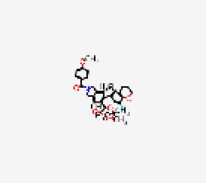 COc1ccc(C(=O)N2Cc3c(C)c(-c4cc(F)c5c(c4C)CCCO5)c([C@H](OC(C)(C)C)C(=O)O)c(C)c3C2)cc1